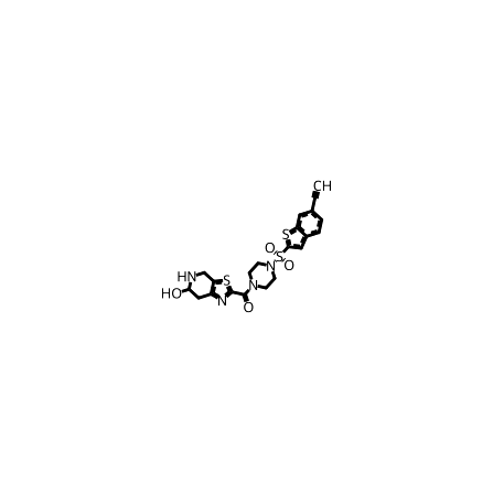 C#Cc1ccc2cc(S(=O)(=O)N3CCN(C(=O)c4nc5c(s4)CNC(O)C5)CC3)sc2c1